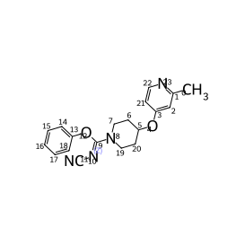 Cc1cc(OC2CCN(/C(=N/C#N)Oc3ccccc3)CC2)ccn1